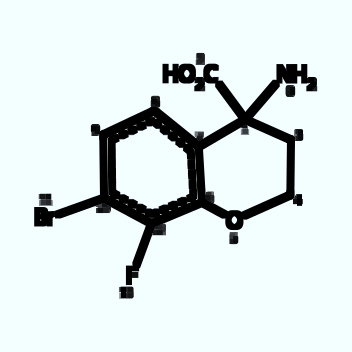 NC1(C(=O)O)CCOc2c1ccc(Br)c2F